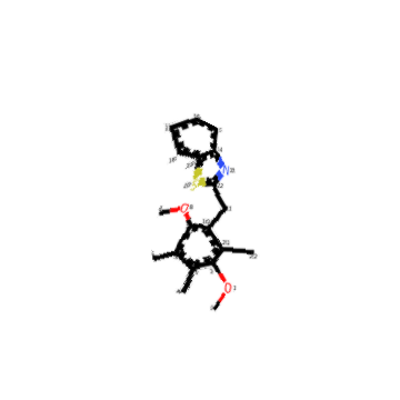 COc1c(C)c(C)c(OC)c(Cc2nc3ccccc3s2)c1C